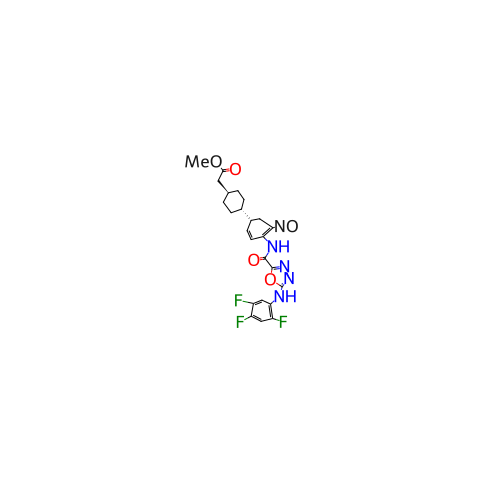 COC(=O)C[C@H]1CC[C@H](C2C=CC(NC(=O)c3nnc(Nc4cc(F)c(F)cc4F)o3)=C(N=O)C2)CC1